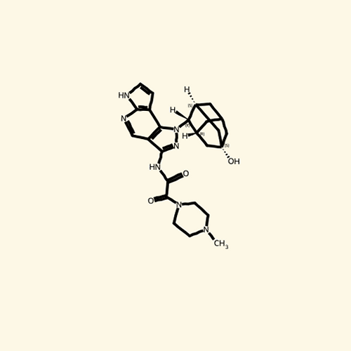 CN1CCN(C(=O)C(=O)Nc2nn([C@H]3[C@@H]4CC5C[C@H]3C[C@@](O)(C5)C4)c3c2cnc2[nH]ccc23)CC1